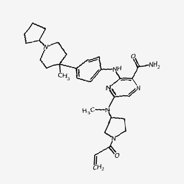 C=CC(=O)N1CCC(N(C)c2cnc(C(N)=O)c(Nc3ccc(C4(C)CCN(C5CCCC5)CC4)cc3)n2)C1